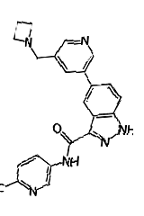 N#Cc1ccc(NC(=O)c2n[nH]c3ccc(-c4cncc(CN5CCC5)c4)cc23)cn1